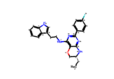 COC[C@@H]1COc2c(NCCc3c[nH]c4ccccc34)nc(-c3ccc(F)cc3)nc2N1